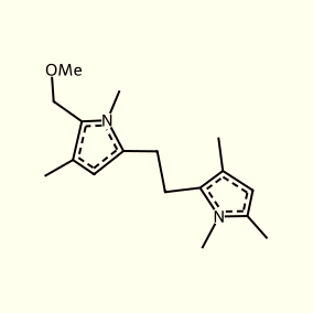 COCc1c(C)cc(CCc2c(C)cc(C)n2C)n1C